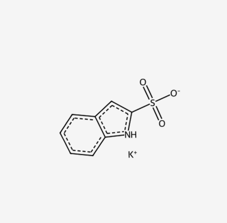 O=S(=O)([O-])c1cc2ccccc2[nH]1.[K+]